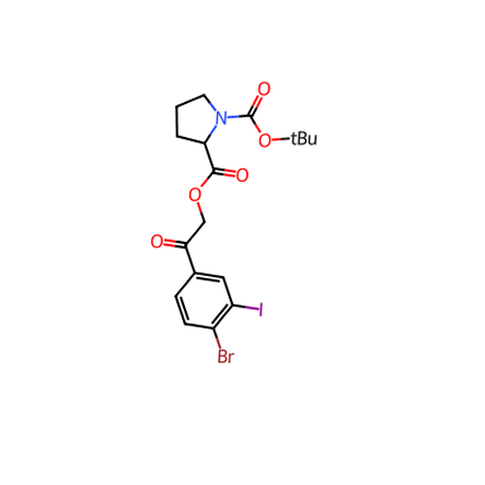 CC(C)(C)OC(=O)N1CCCC1C(=O)OCC(=O)c1ccc(Br)c(I)c1